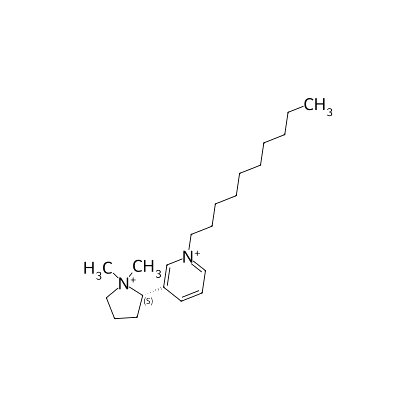 CCCCCCCCCC[n+]1cccc([C@@H]2CCC[N+]2(C)C)c1